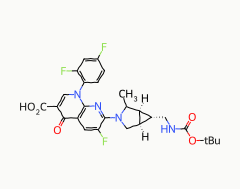 CC1[C@H]2[C@H](CNC(=O)OC(C)(C)C)[C@H]2CN1c1nc2c(cc1F)c(=O)c(C(=O)O)cn2-c1ccc(F)cc1F